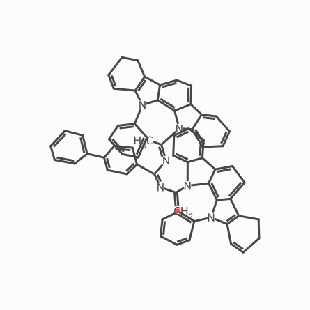 C=C(/N=C(\N=C(/C)n1c2ccccc2c2ccc3c4c(n(-c5ccccc5)c3c21)C=CCC4)c1ccc(-c2ccccc2)cc1)n1c2ccccc2c2ccc3c4c(n(-c5ccccc5)c3c21)C=CCC4